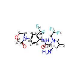 CC(C)CN(CC(F)F)[C@H](CN)C(=O)Nc1ccc(N2CCOCC2=O)cc1C(F)F